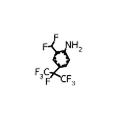 Nc1ccc(C(F)(C(F)(F)F)C(F)(F)F)cc1C(F)F